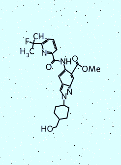 COC(=O)c1cc2nn(C3CCC(CO)CC3)cc2cc1NC(=O)c1cccc(C(C)(C)F)n1